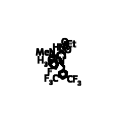 CCS(=O)(=O)N[C@H]1CCN(CCc2cc(C(F)(F)F)cc(C(F)(F)F)c2)[C@@](C(=O)NC)(c2ccc(F)cc2C)C1